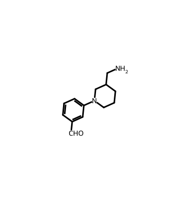 NCC1CCCN(c2cccc(C=O)c2)C1